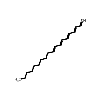 [CH]=CC=CC=CC=CC=CCCCCCCCCC